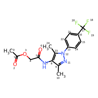 CC(=O)OCC(=O)Nc1c(C)nn(-c2ccc(C(F)(F)F)cc2)c1C